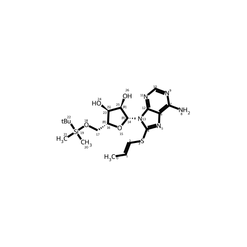 CC=CSc1nc2c(N)ncnc2n1[C@@H]1O[C@H](CO[Si](C)(C)C(C)(C)C)[C@@H](O)[C@H]1O